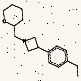 CCc1ccc(C2CN(CC3CCCCO3)C2)cc1